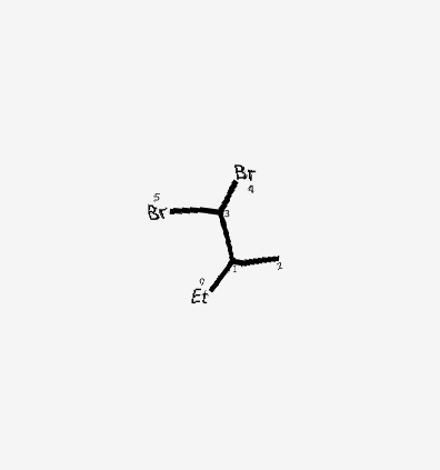 CCC(C)C(Br)Br